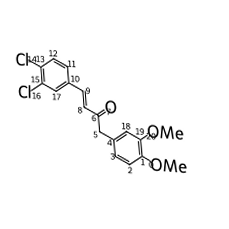 COc1ccc(CC(=O)C=Cc2ccc(Cl)c(Cl)c2)cc1OC